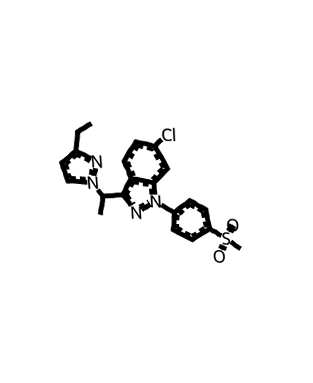 CCc1ccn(C(C)c2nn(-c3ccc(S(C)(=O)=O)cc3)c3cc(Cl)ccc23)n1